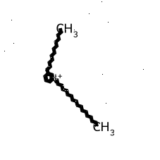 CCCCCCCCCCCCCCCCCC[n+]1cccc(CCCCCCCCCCCCC)c1